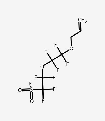 C=CCOC(F)(F)C(F)(F)OC(F)(F)C(F)(F)S(=O)(=O)F